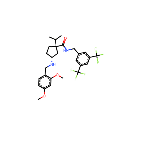 COc1ccc(CN[C@@H]2CC[C@@](C(=O)NCc3cc(C(F)(F)F)cc(C(F)(F)F)c3)(C(C)C)C2)c(OC)c1